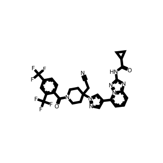 N#CCC1(n2cc(-c3cccc4nc(NC(=O)C5CC5)nn34)cn2)CCN(C(=O)c2ccc(C(F)(F)F)cc2C(F)(F)F)CC1